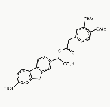 CCCCCCCCCc1ccc2c(c1)Cc1cc(C(OC(=O)Cc3ccc(OC)c(OC)c3)C(=O)O)ccc1-2